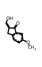 COc1ccc2c(c1)C(=O)C(=CO)C2